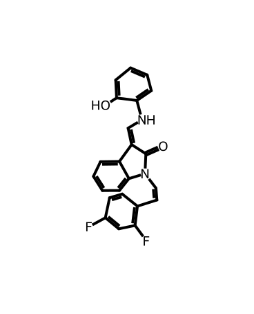 O=C1C(=CNc2ccccc2O)c2ccccc2N1/C=C\c1ccc(F)cc1F